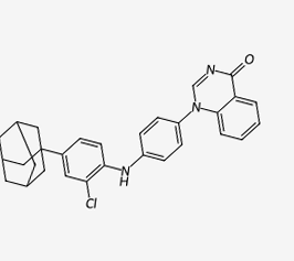 O=c1ncn(-c2ccc(Nc3ccc(C45CC6CC(CC(C6)C4)C5)cc3Cl)cc2)c2ccccc12